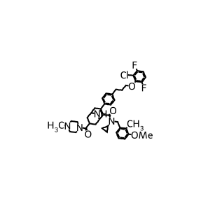 COc1cccc(CN(C(=O)C2=C(c3ccc(CCCOc4c(F)ccc(F)c4Cl)cc3)CC3CC(C(=O)N4CCN(C)CC4)CC2N3)C2CC2)c1C